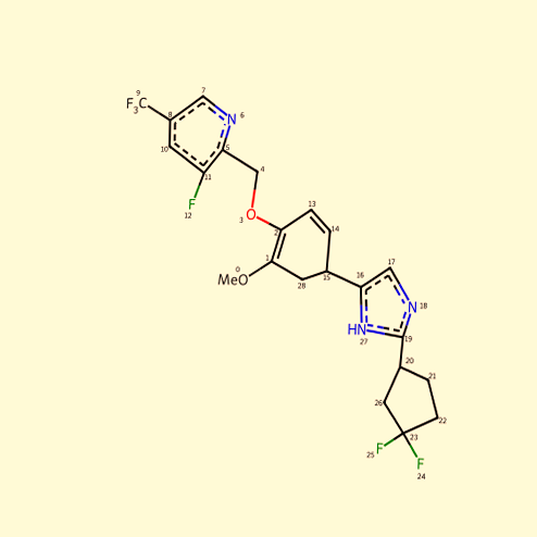 COC1=C(OCc2ncc(C(F)(F)F)cc2F)C=CC(c2cnc(C3CCC(F)(F)C3)[nH]2)C1